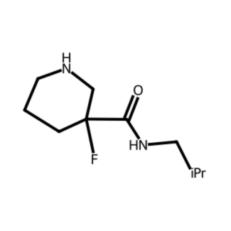 CC(C)CNC(=O)C1(F)CCCNC1